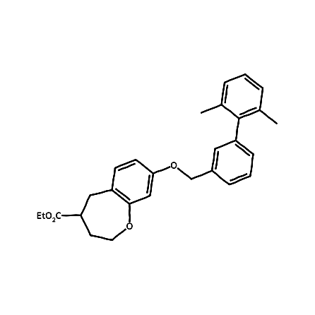 CCOC(=O)C1CCOc2cc(OCc3cccc(-c4c(C)cccc4C)c3)ccc2C1